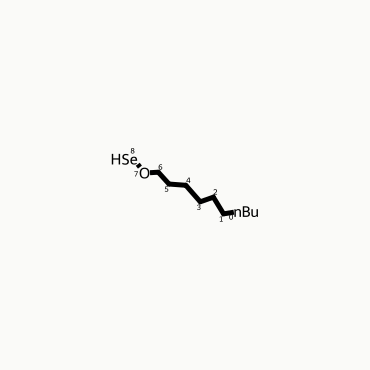 CCCCCCCCCCO[SeH]